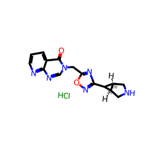 Cl.O=c1c2cccnc2ncn1Cc1nc(C2[C@H]3CNC[C@@H]23)no1